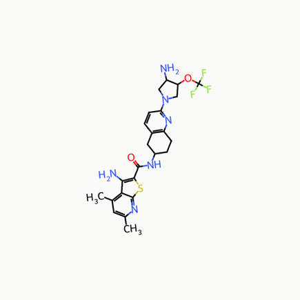 Cc1cc(C)c2c(N)c(C(=O)NC3CCc4nc(N5CC(N)C(OC(F)(F)F)C5)ccc4C3)sc2n1